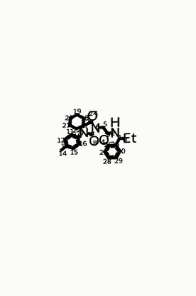 CCC(NC(=O)CN1C(=O)N(c2ccc(C)cc2)C2(CCCCC2)C1=O)c1ccccc1